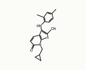 Cc1ccc(Nc2c(C#N)sc3c2ccc(=O)n3CC2CC2)c(C)c1